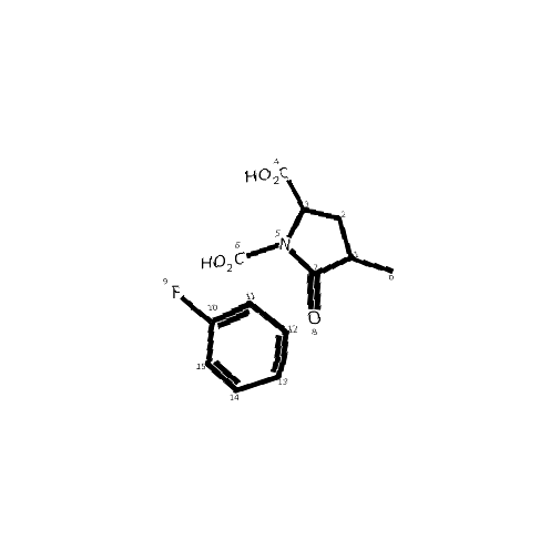 CC1CC(C(=O)O)N(C(=O)O)C1=O.Fc1ccccc1